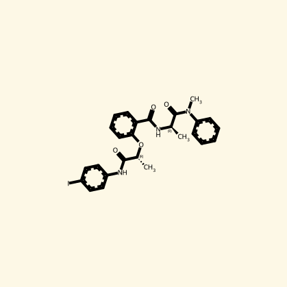 C[C@@H](NC(=O)c1ccccc1O[C@H](C)C(=O)Nc1ccc(I)cc1)C(=O)N(C)c1ccccc1